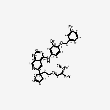 CC(C)C(COCCC1(c2cc3c(Nc4ccc(OCc5cccc(F)c5)c(Br)c4)ncnc3cn2)CC=CO1)=S(=O)=O